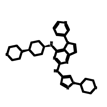 c1cncc(-n2ccc3nc(Nc4cnn(C5CCOCC5)c4)nc(N[C@H]4CC[C@H](N5CCOCC5)CC4)c32)c1